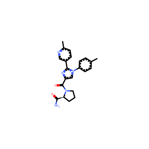 Cc1ccc(-n2cc(C(=O)N3CCC[C@H]3C(N)=O)nc2-c2ccc(C)nc2)cc1